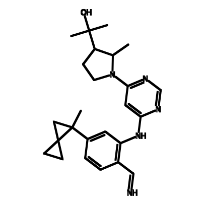 CC1C(C(C)(C)O)CCN1c1cc(Nc2cc(C3(C)CC34CC4)ccc2C=N)ncn1